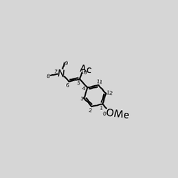 COc1ccc(/C(=C/N(C)C)C(C)=O)cc1